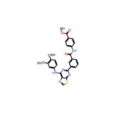 COc1ccc(Nc2nc(-c3cccc(C(=O)Nc4ccc(C(=O)OC(C)(C)C)cc4)c3)nc3scnc23)cc1OC